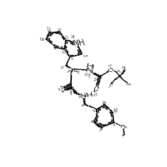 COc1ccc(CNC(=S)[C@@H](Cc2c[nH]c3ccccc23)NC(=O)OC(C)(C)C)cc1